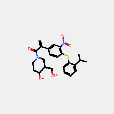 C=C(C(=O)N1CCC(O)C(CO)C1)c1ccc(Sc2ccccc2C(C)C)c([N+](=O)[O-])c1